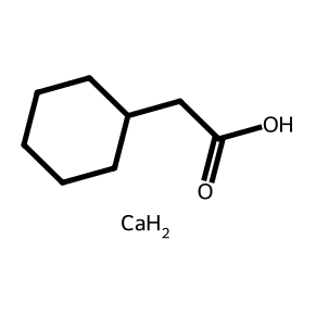 O=C(O)CC1CCCCC1.[CaH2]